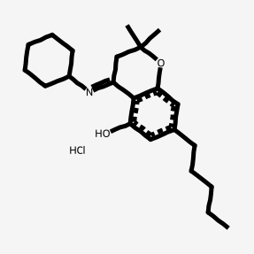 CCCCCc1cc(O)c2c(c1)OC(C)(C)CC2=NC1CCCCC1.Cl